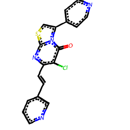 O=c1c(Cl)c(/C=C/c2cccnc2)nc2scc(-c3ccncc3)n12